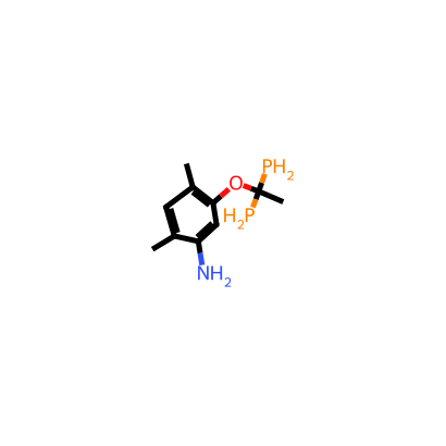 Cc1cc(C)c(OC(C)(P)P)cc1N